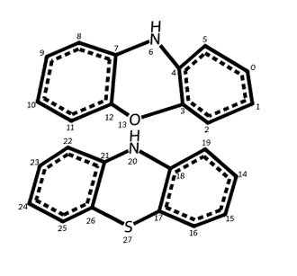 c1ccc2c(c1)Nc1ccccc1O2.c1ccc2c(c1)Nc1ccccc1S2